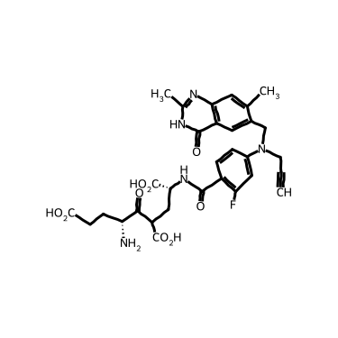 C#CCN(Cc1cc2c(=O)[nH]c(C)nc2cc1C)c1ccc(C(=O)N[C@H](CC(C(=O)O)C(=O)[C@H](N)CCC(=O)O)C(=O)O)c(F)c1